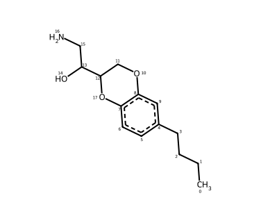 CCCCc1ccc2c(c1)OCC(C(O)CN)O2